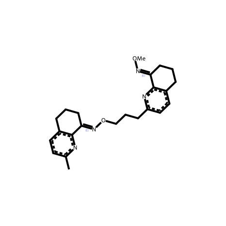 CO/N=C1\CCCc2ccc(CCCO/N=C3\CCCc4ccc(C)nc43)nc21